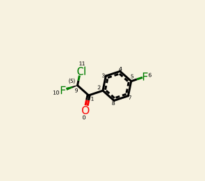 O=C(c1ccc(F)cc1)[C@@H](F)Cl